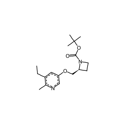 CCc1cc(OC[C@@H]2CCN2C(=O)OC(C)(C)C)cnc1C